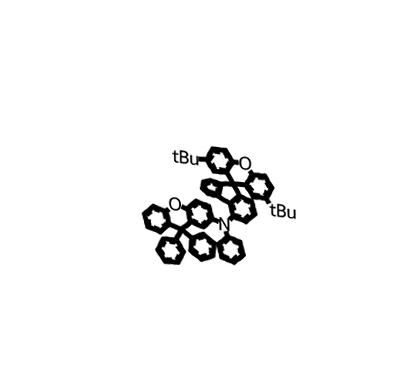 CC(C)(C)c1ccc2c(c1)C1(c3cc(C(C)(C)C)ccc3O2)c2ccccc2-c2c(N(c3ccccc3)c3ccc4c(c3)C(c3ccccc3)(c3ccccc3)c3ccccc3O4)cccc21